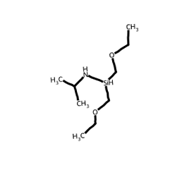 CCOC[SiH](COCC)NC(C)C